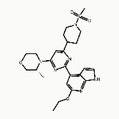 CCOc1cc(-c2nc(C3CCN(S(C)(=O)=O)CC3)cc(N3CCOC[C@H]3C)n2)c2cc[nH]c2n1